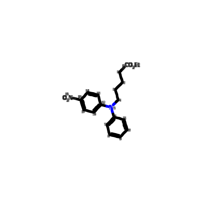 CCOC(=O)CCCCN(c1ccccc1)c1ccc([N+](=O)[O-])cc1